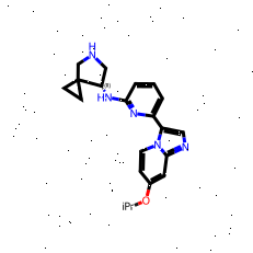 CC(C)Oc1ccn2c(-c3cccc(N[C@H]4CNCC45CC5)n3)cnc2c1